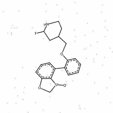 [O-][S+]1COc2cccc(-c3ccccc3OCC3CCNC(F)C3)c21